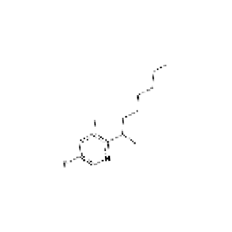 CCCCCCC(C)c1ncc(F)cc1C